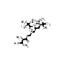 CC(C)[C@@H](N)C(=O)OCOC[C@H](CN(C(C)(C)C)S(C)(=O)=O)O[C@@H](C)C(C)(C)C